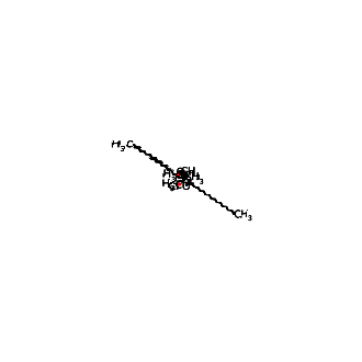 CCCCCCCCC=CCCCCCCCC(=O)OC(CC)(OC(=O)CCCCCCCC=CCCCCCCCC)[N+](C)(C)C.[Cl-]